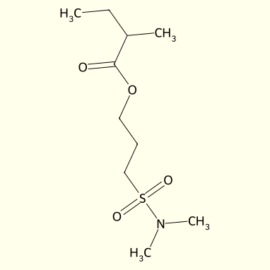 CCC(C)C(=O)OCCCS(=O)(=O)N(C)C